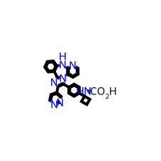 O=C(O)NC1(c2ccc(-c3c(-c4ccnnc4)nc4n3-c3cccnc3Nc3ccccc3-4)cc2)CCC1